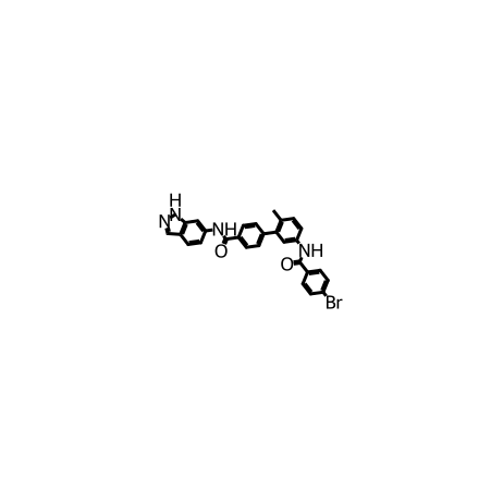 Cc1ccc(NC(=O)c2ccc(Br)cc2)cc1-c1ccc(C(=O)Nc2ccc3cn[nH]c3c2)cc1